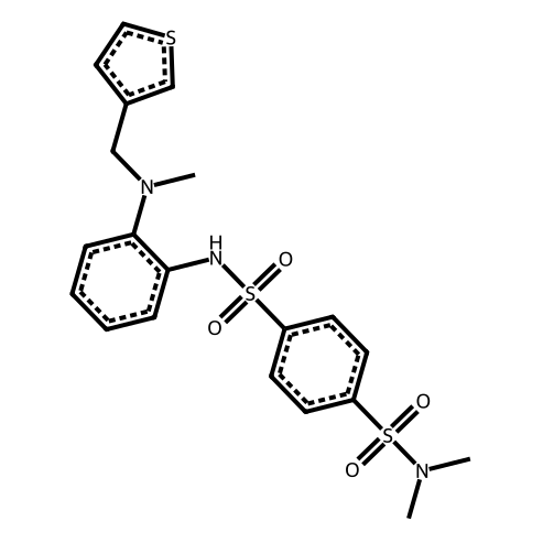 CN(Cc1ccsc1)c1ccccc1NS(=O)(=O)c1ccc(S(=O)(=O)N(C)C)cc1